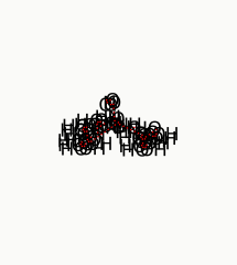 O=C(CCCCCNC(=O)CN(CC(=O)NCCCCCCN(CCO[C@H]1O[C@H](CO[C@H]2O[C@H](CO)[C@@H](O)[C@H](O)[C@@H]2O)[C@@H](O)[C@H](O[C@H]2O[C@H](CO)[C@@H](O)[C@H](O)[C@@H]2O)[C@@H]1O)CCO[C@@H]1O[C@H](CO)[C@@H](O)[C@H](O)[C@H]1O)CC(=O)NCCCCCC(=O)ON1C(=O)CCC1=O)NCCO[C@H]1O[C@H](CO[C@H]2O[C@H](CO)[C@@H](O)[C@H](O)[C@@H]2O)[C@@H](O)[C@H](O[C@H]2O[C@H](CO)[C@@H](O)[C@H](O)[C@@H]2O)[C@@H]1O